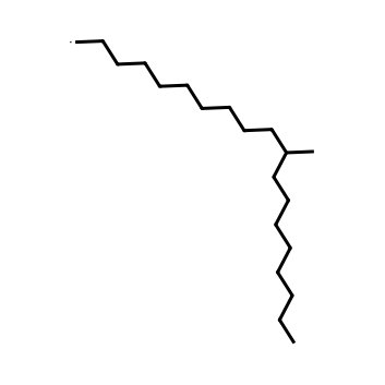 [CH2]CCCCCCCCCC(C)CCCCCCCC